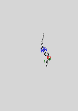 CCCCCCCCCCc1cnc(-c2ccc(OCC(F)C(F)CCCCC)cc2)nc1